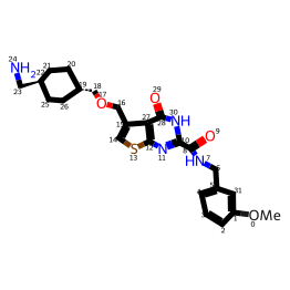 COc1cccc(CNC(=O)c2nc3scc(COC[C@H]4CC[C@H](CN)CC4)c3c(=O)[nH]2)c1